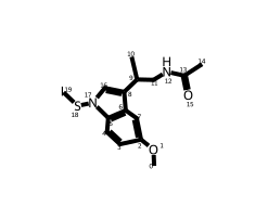 COc1ccc2c(c1)c(C(C)CNC(C)=O)cn2SI